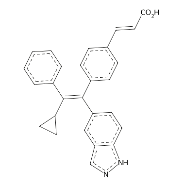 O=C(O)C=Cc1ccc(C(=C(c2ccccc2)C2CC2)c2ccc3[nH]ncc3c2)cc1